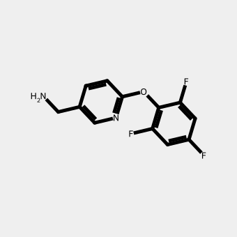 NCc1ccc(Oc2c(F)cc(F)cc2F)nc1